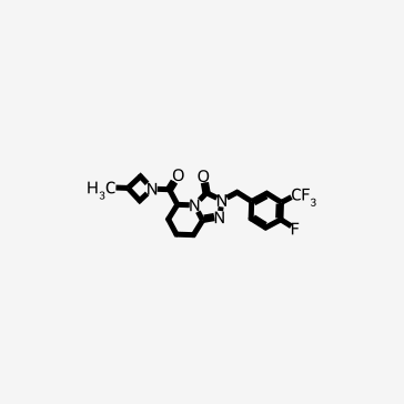 CC1CN(C(=O)C2CCCc3nn(Cc4ccc(F)c(C(F)(F)F)c4)c(=O)n32)C1